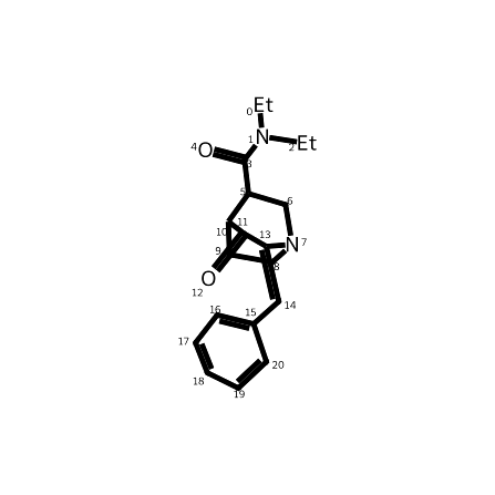 CCN(CC)C(=O)C1CN2CCC1C(=O)/C2=C\c1ccccc1